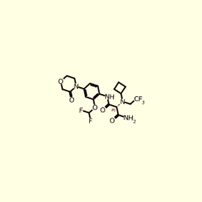 NC(=O)[C@H](C(=O)Nc1ccc(N2CCOCC2=O)cc1OC(F)F)N(CC(F)(F)F)C1CCC1